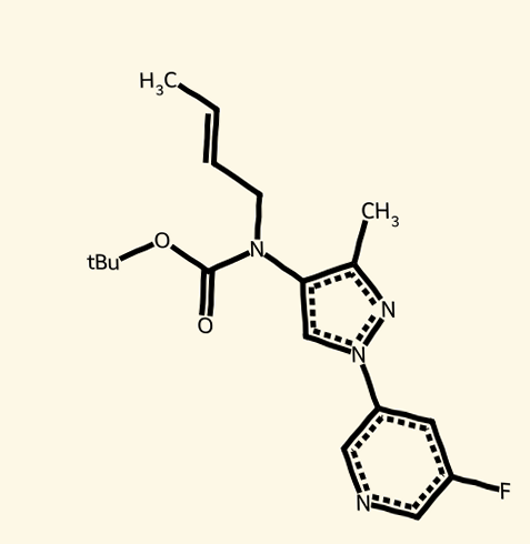 C/C=C/CN(C(=O)OC(C)(C)C)c1cn(-c2cncc(F)c2)nc1C